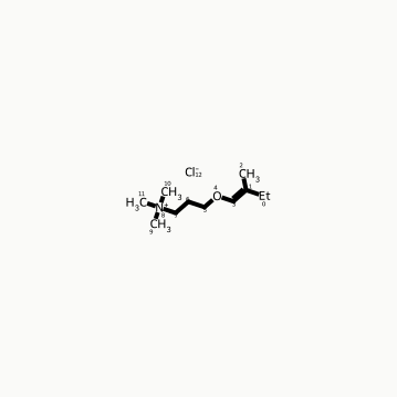 CCC(C)=COCCC[N+](C)(C)C.[Cl-]